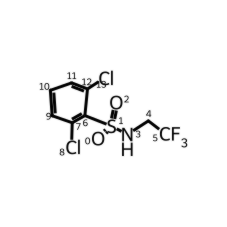 O=S(=O)(NCC(F)(F)F)c1c(Cl)cccc1Cl